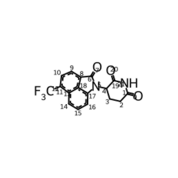 O=C1CCC(N2C(=O)c3ccc(C(F)(F)F)c4cccc2c34)C(=O)N1